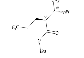 CCC[C@@H](C(=O)O)[C@H](CCC(F)(F)F)C(=O)OC(C)(C)C